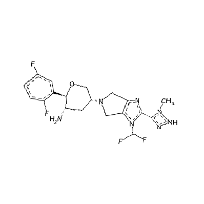 Cn1[nH]nc1-c1nc2c(n1C(F)F)CN([C@H]1CO[C@H](c3cc(F)ccc3F)[C@@H](N)C1)C2